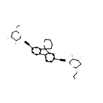 OCC[C@H]1O[C@H](C#Cc2ccc3c(c2)C2(CCCCO2)c2cc(C#C[C@H]4O[C@H](CO)[C@@H](O)[C@H](O)[C@@H]4O)ccc2-3)[C@@H](O)[C@@H](O)[C@@H]1O